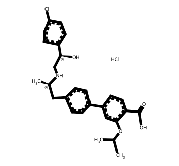 CC(C)Oc1cc(-c2ccc(C[C@@H](C)NC[C@H](O)c3ccc(Cl)cc3)cc2)ccc1C(=O)O.Cl